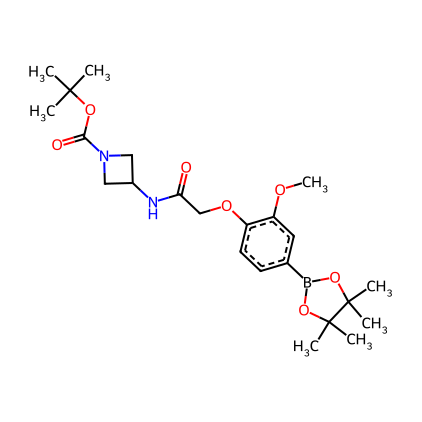 COc1cc(B2OC(C)(C)C(C)(C)O2)ccc1OCC(=O)NC1CN(C(=O)OC(C)(C)C)C1